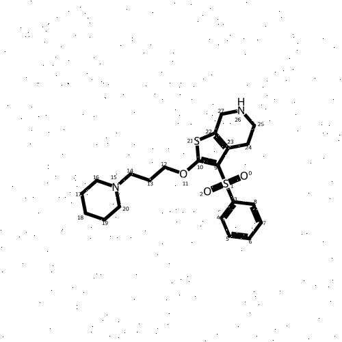 O=S(=O)(c1ccccc1)c1c(OCCCN2CCCCC2)sc2c1CCNC2